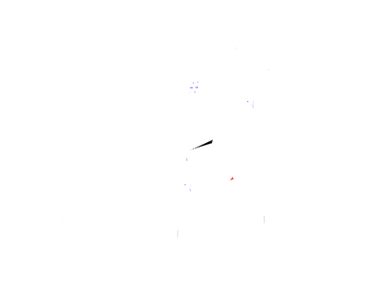 CC(=O)N/C(C[C@@](N[S@@+]([O-])C(C)(C)C)(c1cc(F)cc(C(F)(F)F)c1)c1ccc(Cl)cn1)=N\O